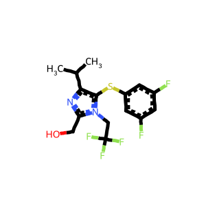 CC(C)c1nc(CO)n(CC(F)(F)F)c1Sc1cc(F)cc(F)c1